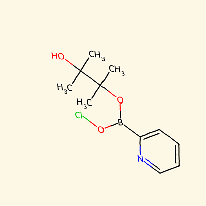 CC(C)(O)C(C)(C)OB(OCl)c1ccccn1